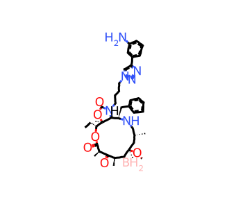 B[C@@H]1[C@@H](C)C(=O)[C@@H](C)C(=O)O[C@H](CC)[C@@]2(C)OC(=O)N(CCCCn3cc(-c4cccc(N)c4)nn3)[C@@H]2[C@@H](Cc2ccccc2)NC[C@H](C)C[C@@]1(C)OC